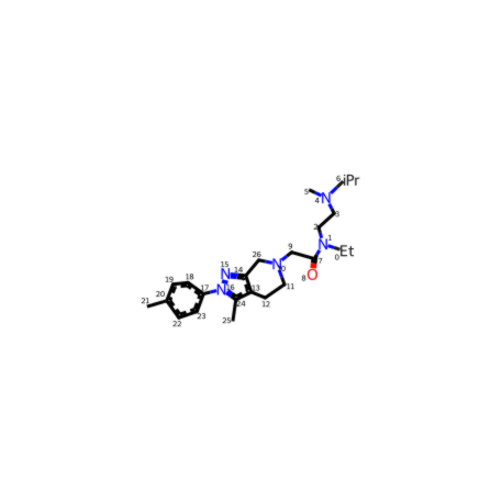 CCN(CCN(C)C(C)C)C(=O)CN1CCc2c(nn(-c3ccc(C)cc3)c2C)C1